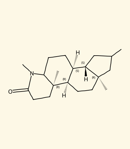 CC1C[C@H]2[C@@H]3CCC4N(C)C(=O)CC[C@]4(C)[C@@H]3CC[C@]2(C)C1